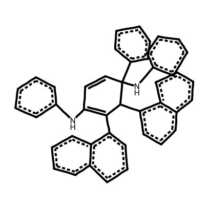 C1=CC(Nc2ccccc2)(c2ccccc2)C(c2cccc3ccccc23)C(c2cccc3ccccc23)=C1Nc1ccccc1